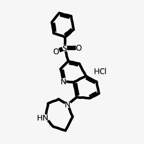 Cl.O=S(=O)(c1ccccc1)c1cnc2c(N3CCCNCC3)cccc2c1